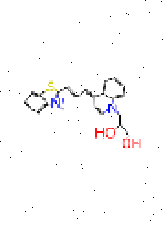 C[n+]1c(C=CC=C2C=CN(CC(O)CO)c3ccccc32)sc2ccccc21